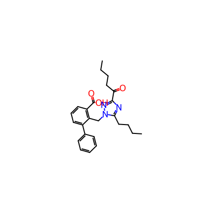 CCCCC(=O)c1nc(CCCC)n(Cc2c(C(=O)O)cccc2-c2ccccc2)n1